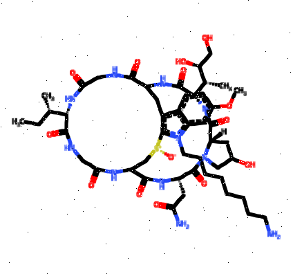 CC[C@H](C)[C@@H]1NC(=O)CNC(=O)C2Cc3c(n(CCCCCCCCN)c4cc(OC)ccc34)[S@+]([O-])CC(NC(=O)CNC1=O)C(=O)N[C@@H](CC(N)=O)C(=O)N1CC(O)C[C@H]1C(=O)N[C@@H]([C@@H](C)[C@@H](O)CO)C(=O)N2